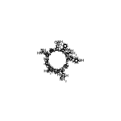 C[C@@H](O)[C@@H]1NC(=O)[C@@H](NC(=O)C(CS)NC(=O)CN)CCn2cc(nn2)CC[C@H](C(=O)N[C@@H](Cc2ccc(O)cc2)C(=O)O)NC(=O)[C@H](CCC(N)O)NC(=O)C(Cc2c[nH]c3ccccc23)NC(=O)[C@H](CCCNC(N)=O)NC(=O)C(CS)NC(=O)[C@H](CCCNC(=N)N)NC(=O)C2CCCN2C(=O)[C@H](CC(=O)O)NC1=O